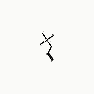 C=C[CH2][Sn]([CH3])([CH3])[CH3]